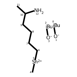 CCC(C)[O-].CCC(C)[O-].[CH3][Sn+2][CH2]CCCC(C)N